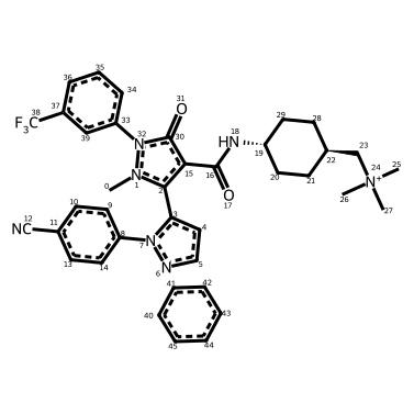 Cn1c(-c2ccnn2-c2ccc(C#N)cc2)c(C(=O)N[C@H]2CC[C@H](C[N+](C)(C)C)CC2)c(=O)n1-c1cccc(C(F)(F)F)c1.c1ccccc1